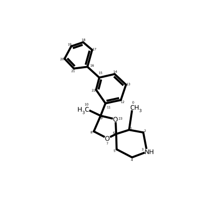 CC1CNCCC12OCC(C)(c1cccc(-c3ccccc3)c1)O2